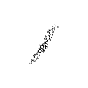 CCCC[C@H]1CC[C@H]([C@H]2CC[C@H](CCc3ccc(OC[C@H]4CC[C@H](CCC)CC4)c(F)c3F)CC2)CC1